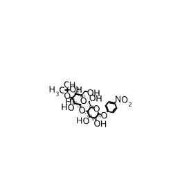 CC1(C)O[C@@H]2[C@@H](O)[C@H](O[C@H]3[C@H](O)[C@@H](O)[C@H](Oc4ccc([N+](=O)[O-])cc4)O[C@@H]3CO)O[C@H](CO)[C@@H]2O1